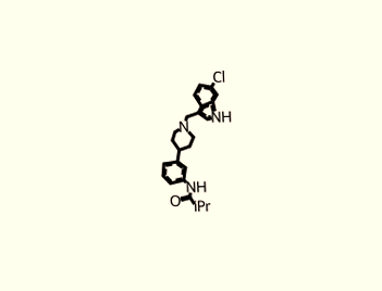 CC(C)C(=O)Nc1cccc(C2CCN(Cc3c[nH]c4cc(Cl)ccc34)CC2)c1